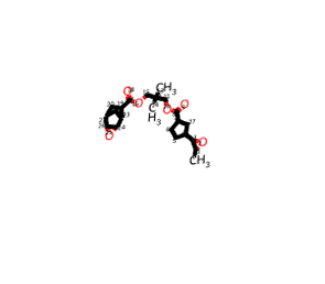 CC1OC1C1CCC(C(=O)OCC(C)(C)COC(=O)C2CC3CC2C2OC32)C1